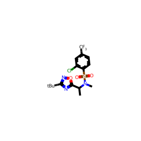 CC(c1nc(C(C)(C)C)no1)N(C)S(=O)(=O)c1ccc(C(F)(F)F)cc1Cl